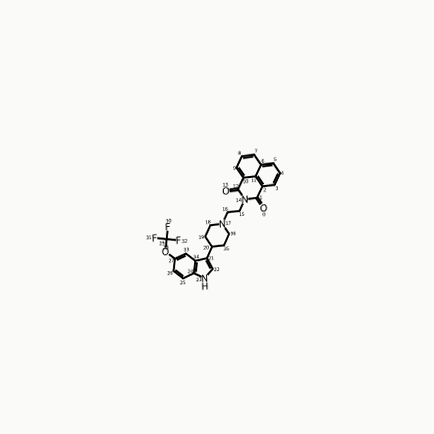 O=C1c2cccc3cccc(c23)C(=O)N1CCN1CCC(c2c[nH]c3ccc(OC(F)(F)F)cc23)CC1